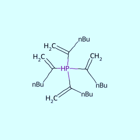 C=C(CCCC)[PH](C(=C)CCCC)(C(=C)CCCC)C(=C)CCCC